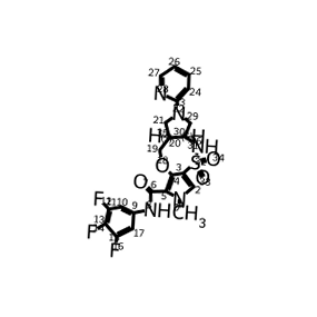 Cn1cc2c(c1C(=O)Nc1cc(F)c(F)c(F)c1)OC[C@H]1CN(c3ccccn3)C[C@H]1NS2(=O)=O